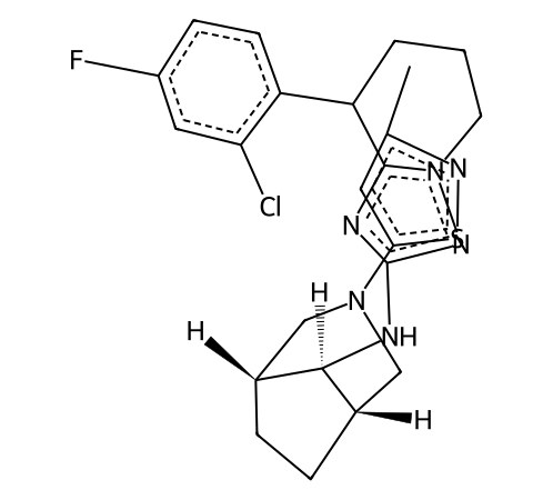 Cc1cc(N2C[C@H]3CC[C@@H](C2)[C@@H]3Nc2nc3n(n2)CCCC3c2ccc(F)cc2Cl)sn1